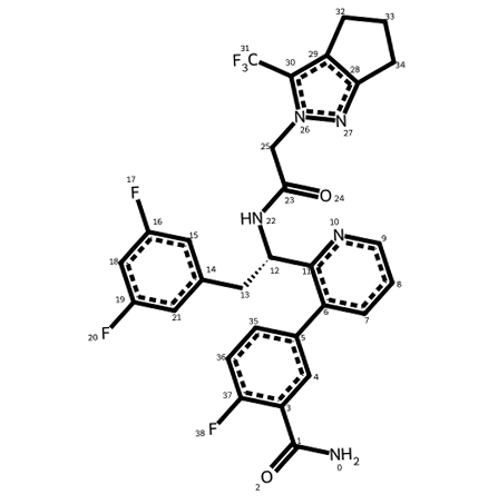 NC(=O)c1cc(-c2cccnc2[C@H](Cc2cc(F)cc(F)c2)NC(=O)Cn2nc3c(c2C(F)(F)F)CCC3)ccc1F